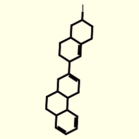 IC1CCC2=CC(C3=CCC4C(CCC5C=CC=CC54)C3)CCC2C1